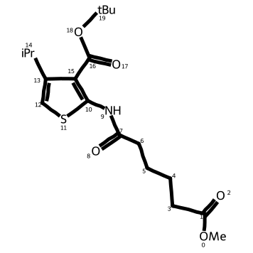 COC(=O)CCCCC(=O)Nc1scc(C(C)C)c1C(=O)OC(C)(C)C